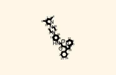 Cc1cc(C)nc(N2CCN(c3ccc(NC(=O)C(=O)c4c(C5CCCCC5)cc5ccccn45)cc3)CC2)c1